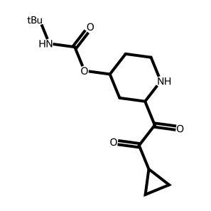 CC(C)(C)NC(=O)OC1CCNC(C(=O)C(=O)C2CC2)C1